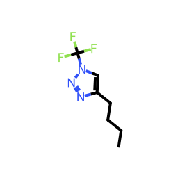 CCCCc1cn(C(F)(F)F)nn1